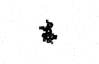 CC1=C(C2=CCNC23CCN(CC2CCC2)C(C)C3)C(=O)C(c2cccc(F)c2)(S(=O)(=O)O)C=C1